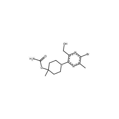 Cc1nc(N2CCC(C)(OC(N)=O)CC2)c(CO)nc1Br